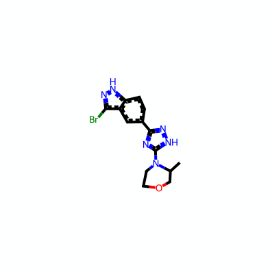 CC1COCCN1c1nc(-c2ccc3[nH]nc(Br)c3c2)n[nH]1